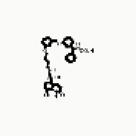 O=C(O)NC(c1ccccc1)c1cccc(OCc2cccc(OCCCCNC[C@H](O)c3ccc(O)c4[nH]c(=O)ccc34)c2)c1